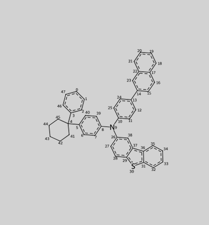 c1ccc(C2(c3ccc(N(c4ccc(-c5ccc6ccccc6c5)cc4)c4ccc5sc6ccccc6c5c4)cc3)CCCCC2)cc1